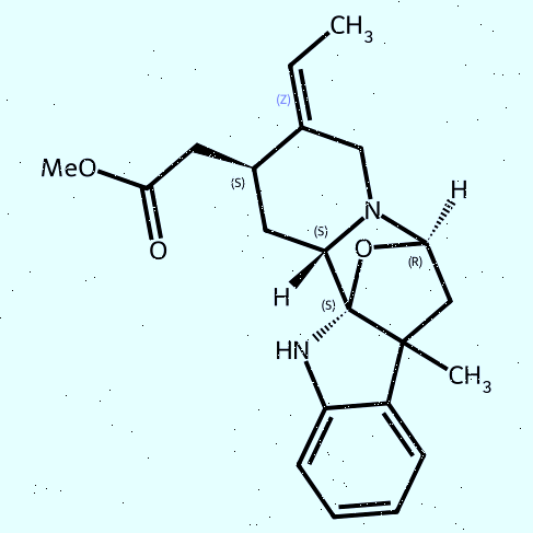 C/C=C1\CN2[C@@H](C[C@H]1CC(=O)OC)[C@]13Nc4ccccc4C1(C)C[C@H]2O3